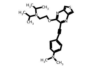 CC(C)N(CCOc1nc2cscc2nc1C#Cc1ccc(N(C)C)cc1)C(C)C